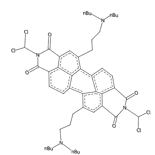 CCCCN(CCCC)CCCc1cc2c3c(ccc4c5c(CCCN(CCCC)CCCC)cc6c7c(ccc(c1c34)c75)C(=O)N(C(Cl)Cl)C6=O)C(=O)N(C(Cl)Cl)C2=O